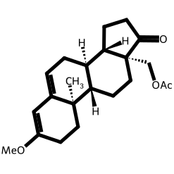 COC1=CC2=CC[C@H]3[C@@H]4CCC(=O)[C@@]4(COC(C)=O)CC[C@@H]3[C@@]2(C)CC1